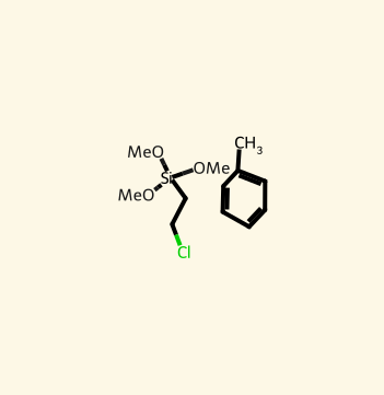 CO[Si](CCCl)(OC)OC.Cc1ccccc1